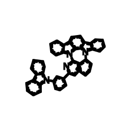 c1ccc(-n2c3ccccc3c3ccc4c5ccccc5n(-c5cccc(-c6cccc(-n7c8ccccc8c8ccccc87)c6)n5)c4c32)cc1